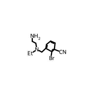 CCN(CCN)Cc1cccc(C#N)c1Br